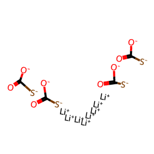 O=C([O-])[S-].O=C([O-])[S-].O=C([O-])[S-].O=C([O-])[S-].[Li+].[Li+].[Li+].[Li+].[Li+].[Li+].[Li+].[Li+]